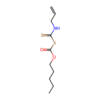 C=CCNC(=S)SC(=O)OCCCCC